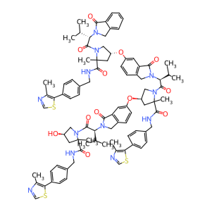 Cc1ncsc1-c1ccc(CNC(=O)C2(C)C[C@@H](O)CN2C(=O)[C@H](C(C)C)N2Cc3ccc(O[C@H]4CN(C(=O)[C@H](C(C)C)N5Cc6ccc(O[C@H]7CN(C(=O)[C@H](C(C)C)N8Cc9ccccc9C8=O)C(C)(C(=O)NCc8ccc(-c9scnc9C)cc8)C7)cc6C5=O)C(C)(C(=O)NCc5ccc(-c6scnc6C)cc5)C4)cc3C2=O)cc1